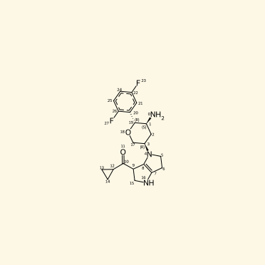 N[C@H]1C[C@@H](N2CCC3=C2C(C(=O)C2CC2)CN3)CO[C@@H]1c1cc(F)ccc1F